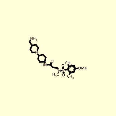 COc1cc(C)c(S(=O)(=O)N(C)CCC(=O)NC2CCC(N3CCC(CN)CC3)CC2)c(C)c1